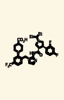 CCC(CC)N1C[C@@H](C(=O)Nc2nccn2Cc2ccc(C(F)(F)F)cc2N2CCC(C(=O)O)CC2)[C@H](c2ccc(F)cc2F)C1